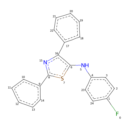 Fc1ccc(Nc2sc(-c3ccccc3)nc2-c2ccccc2)cc1